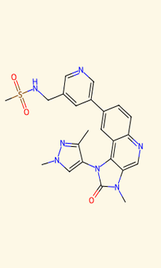 Cc1nn(C)cc1-n1c(=O)n(C)c2cnc3ccc(-c4cncc(CNS(C)(=O)=O)c4)cc3c21